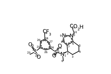 CN([C@@H]1CCCc2c1cnn2CC(=O)O)S(=O)(=O)c1cc(C(F)(F)F)cc(S(C)(=O)=O)c1